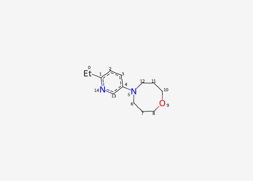 CCc1ccc(N2CCCOCCC2)cn1